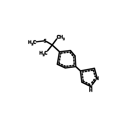 CSC(C)(C)c1ccc(-c2cn[nH]c2)cc1